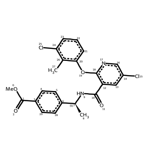 COC(=O)c1ccc([C@H](C)NC(=O)c2cc(Cl)cnc2Oc2cccc(Cl)c2C)cc1